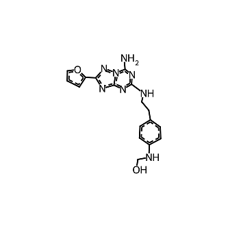 Nc1nc(NCCc2ccc(NCO)cc2)nc2nc(-c3ccco3)nn12